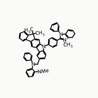 CNc1ccccc1N(Cc1ccc2c(c1)c1cc3c(cc1n2-c1ccc(-c2n(-c4ccccc4)c4c([n+]2C)CCC=C4)cc1)C(C)(C)c1ccccc1-3)c1ccccc1